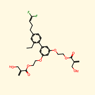 C=C(CO)C(=O)OCCOc1cc(OCCOC(=O)C(=C)CO)cc(-c2ccc(CCC=C(F)F)cc2CC)c1